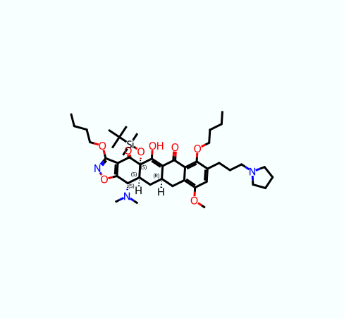 CCCCOc1noc2c1C(=O)[C@@]1(O[Si](C)(C)C(C)(C)C)C(O)=C3C(=O)c4c(c(OC)cc(CCCN5CCCC5)c4OCCCC)C[C@H]3C[C@H]1[C@@H]2N(C)C